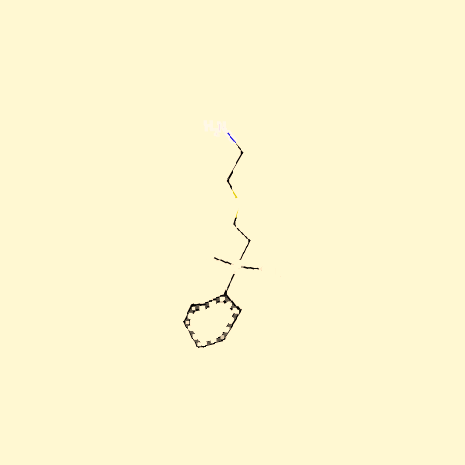 C[Si](C)(CCSCCN)c1ccccc1